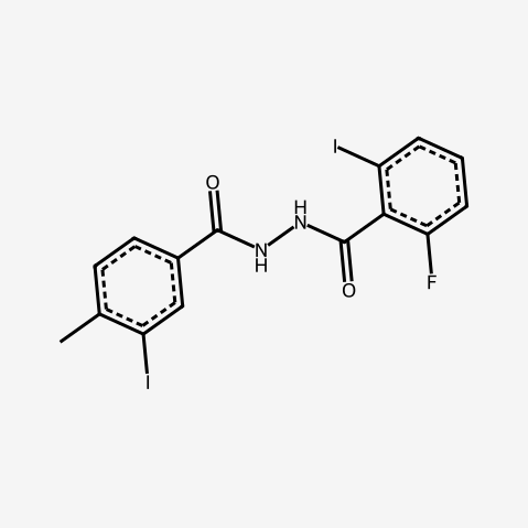 Cc1ccc(C(=O)NNC(=O)c2c(F)cccc2I)cc1I